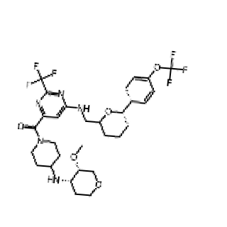 CO[C@@H]1COCC[C@@H]1NC1CCN(C(=O)c2cc(NCC3CCC[C@@H]([C@H]4C=CC(OC(F)(F)F)=CC4)O3)nc(C(F)(F)F)n2)CC1